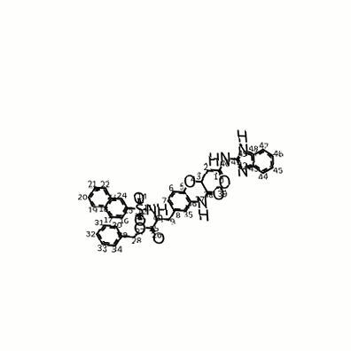 O=C(CC1Oc2ccc(C[C@H](NS(=O)(=O)c3ccc4ccccc4c3)C(=O)OCc3ccccc3)cc2NC1=O)Nc1nc2ccccc2[nH]1